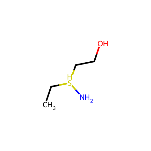 CC[SH](N)CCO